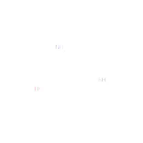 Bc1ccc(O)c(CN)c1